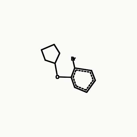 Brc1ccccc1OC1CCCC1